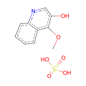 COc1c(O)cnc2ccccc12.O=S(=O)(O)O